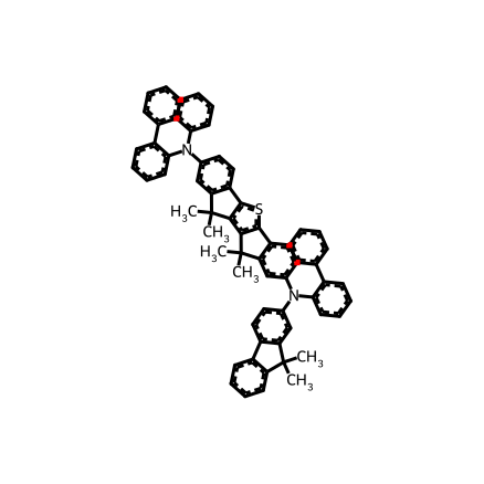 CC1(C)c2ccccc2-c2ccc(N(c3ccc4c(c3)C(C)(C)c3c-4sc4c3C(C)(C)c3cc(N(c5ccccc5)c5ccccc5-c5ccccc5)ccc3-4)c3ccccc3-c3ccccc3)cc21